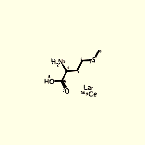 CSCCC(N)C(=O)O.[Ce].[La]